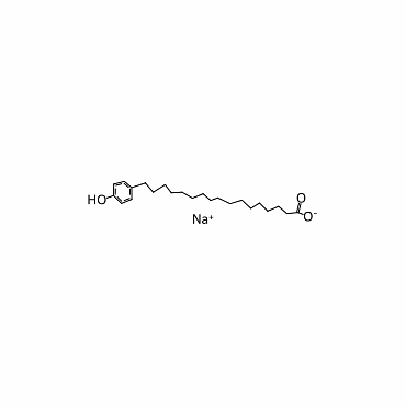 O=C([O-])CCCCCCCCCCCCCCCCc1ccc(O)cc1.[Na+]